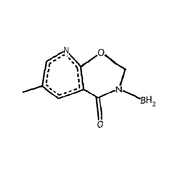 BN1COc2ncc(C)cc2C1=O